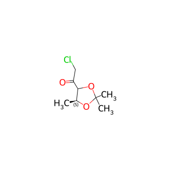 C[C@@H]1OC(C)(C)OC1C(=O)CCl